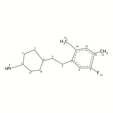 CCCC1CCC(CCc2cc(F)c(C)cc2C)CC1